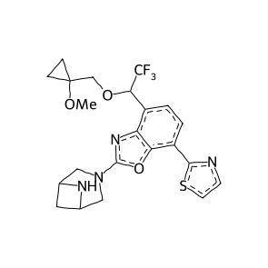 COC1(COC(c2ccc(-c3nccs3)c3oc(N4CC5CC(C4)N5)nc23)C(F)(F)F)CC1